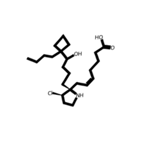 CCCCC1(C(O)CCC[C@@]2(C/C=C\CCCC(=O)O)NCC[C@H]2Cl)CCC1